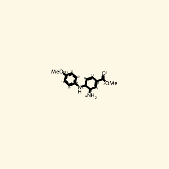 COC(=O)C1=CC(N)C(Nc2ccc(OC)cc2)C=C1